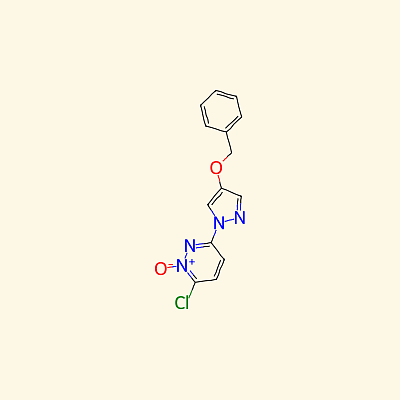 [O-][n+]1nc(-n2cc(OCc3ccccc3)cn2)ccc1Cl